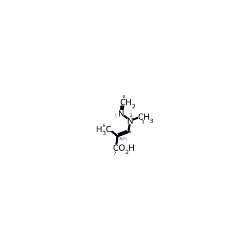 C=NN(C)/C=C(\C)C(=O)O